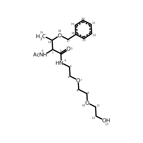 CC(=O)NC(C(=O)NCCOCCOCCO)C(C)OCc1ccccc1